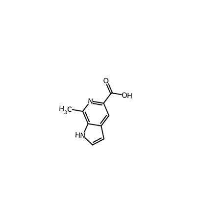 Cc1nc(C(=O)O)cc2cc[nH]c12